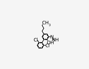 CCCCc1cc(N=N)c(O)c(-c2c(Cl)cccc2Cl)c1